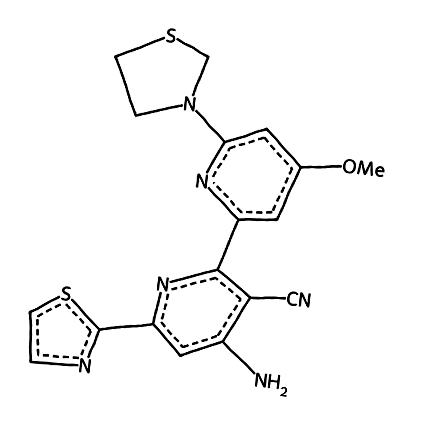 COc1cc(-c2nc(-c3nccs3)cc(N)c2C#N)nc(N2CCSC2)c1